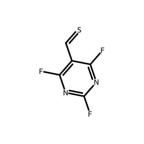 Fc1nc(F)c(C=S)c(F)n1